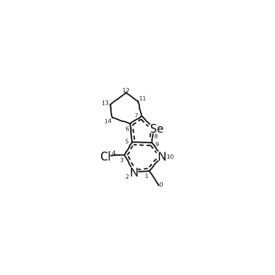 Cc1nc(Cl)c2c3c([se]c2n1)CCCC3